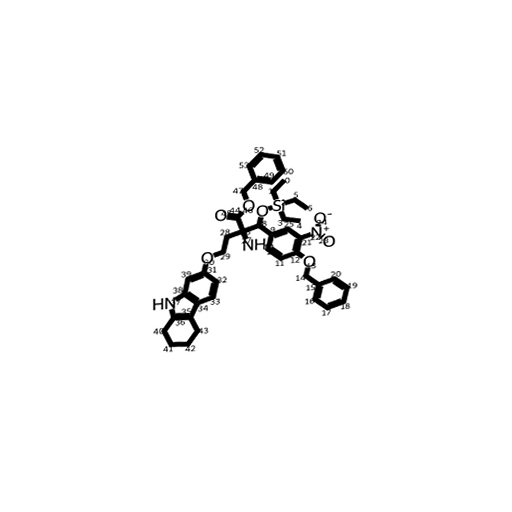 CC[Si](CC)(CC)OC(c1ccc(OCc2ccccc2)c([N+](=O)[O-])c1)C(N)(CCOc1ccc2c3c([nH]c2c1)CCCC3)C(=O)OCc1ccccc1